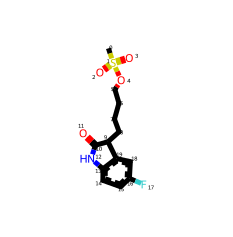 CS(=O)(=O)OCCCCC1C(=O)Nc2ccc(F)cc21